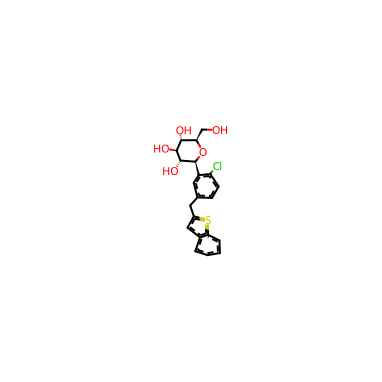 OC[C@H]1O[C@@H](c2cc(Cc3cc4ccccc4s3)ccc2Cl)[C@H](O)[C@@H](O)[C@@H]1O